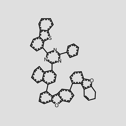 C1=Cc2c(oc3cccc(-c4ccc5oc6cccc(-c7ccc(-c8nc(-c9ccccc9)nc(-c9cccc%10c9sc9ccccc9%10)n8)c8ccccc78)c6c5c4)c23)CC1